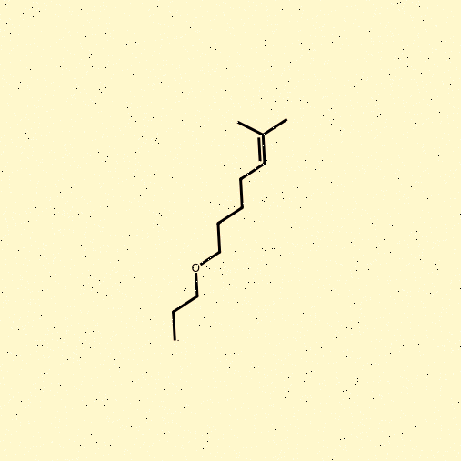 [CH2]CCOCCCCC=C(C)C